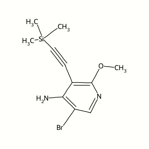 COc1ncc(Br)c(N)c1C#C[Si](C)(C)C